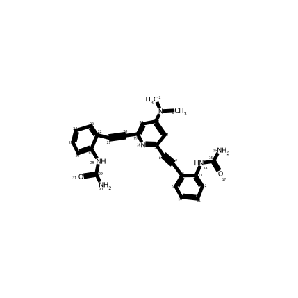 CN(C)c1cc(C#Cc2ccccc2NC(N)=O)nc(C#Cc2ccccc2NC(N)=O)c1